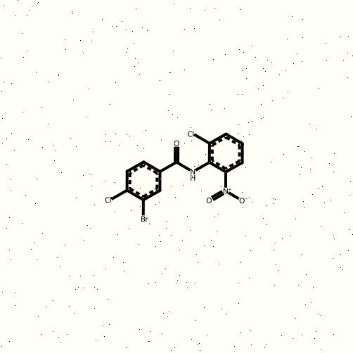 O=C(Nc1c(Cl)cccc1[N+](=O)[O-])c1ccc(Cl)c(Br)c1